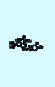 CC(C)N1CCc2cc(Nc3cc4cc(B(O)O)c(F)c(NC(=O)OC(C)(C)C)c4cn3)nn2CC1=O